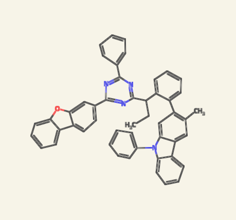 CCC(c1nc(-c2ccccc2)nc(-c2ccc3c(c2)oc2ccccc23)n1)c1ccccc1-c1cc2c(cc1C)c1ccccc1n2-c1ccccc1